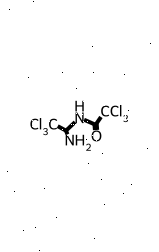 NC(NC(=O)C(Cl)(Cl)Cl)C(Cl)(Cl)Cl